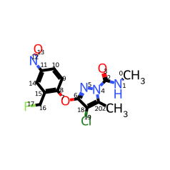 CNC(=O)n1nc(Oc2ccc(N=O)cc2CF)c(Cl)c1C